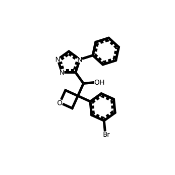 OC(c1nncn1-c1ccccc1)C1(c2cccc(Br)c2)COC1